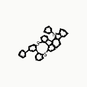 c1ccc(-c2ccc3c(c2)-c2ccccc2Sc2ccccc2-c2c(cccc2-c2cccc4c5ccccc5n(-c5ccccc5)c24)S3)cc1